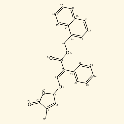 CC1=CC(O/C=C(/C(=O)OCc2cccc3ccccc23)c2ccccc2)OC1=O